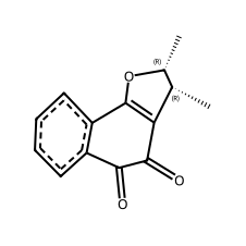 C[C@@H]1C2=C(O[C@@H]1C)c1ccccc1C(=O)C2=O